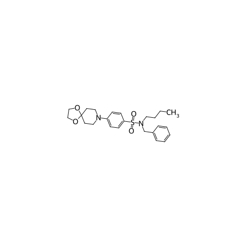 CCCCN(Cc1ccccc1)S(=O)(=O)c1ccc(N2CCC3(CC2)OCCO3)cc1